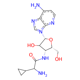 Nc1ccnc2c1ncn2[C@@H]1O[C@H](CO)[C@H](NC(=O)C(N)C2CC2)C1O